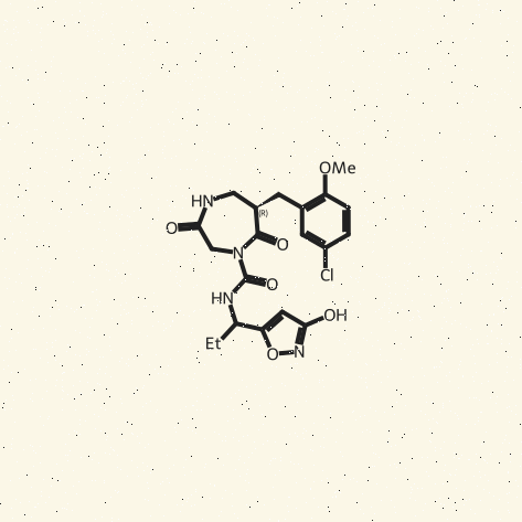 CCC(NC(=O)N1CC(=O)NC[C@@H](Cc2cc(Cl)ccc2OC)C1=O)c1cc(O)no1